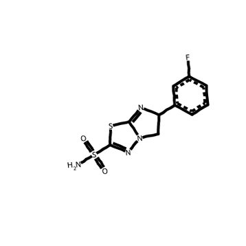 NS(=O)(=O)C1=NN2CC(c3cccc(F)c3)N=C2S1